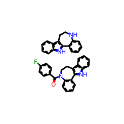 O=C(c1ccc(F)cc1)N1CCc2c([nH]c3ccccc23)-c2ccccc21.c1ccc2c(c1)NCCc1c-2[nH]c2ccccc12